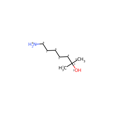 CC(C)(O)CCCCCN